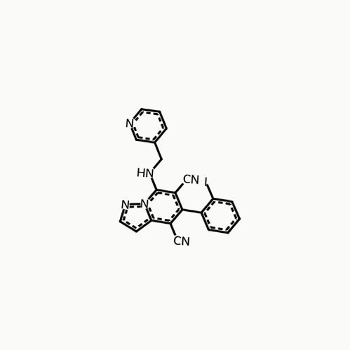 N#Cc1c(-c2ccccc2I)c(C#N)c2ccnn2c1NCc1cccnc1